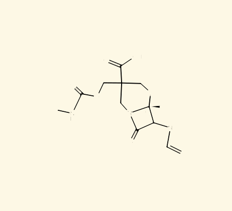 CNC(=O)OCC1(C(=O)O)CS[C@@H]2C(NC=O)C(=O)N2C1